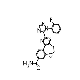 NC(=O)c1ccc2c(c1)OCCc1sc(-c3ncnn3-c3ccccc3F)nc1-2